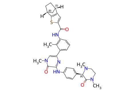 Cc1c(NC(=O)c2cc3c(s2)[C@@H]2CC[C@H]3C2)cccc1-c1cn(C)c(=O)c(Nc2ccc([C@@H]3C(=O)N(C)CCN3C)cc2)n1